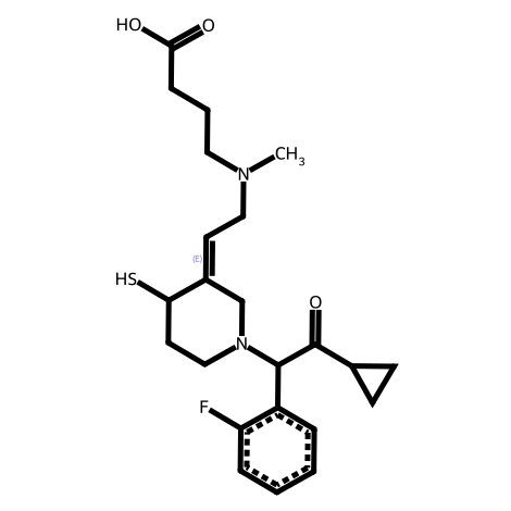 CN(C/C=C1\CN(C(C(=O)C2CC2)c2ccccc2F)CCC1S)CCCC(=O)O